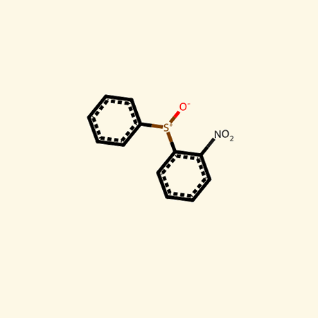 O=[N+]([O-])c1ccccc1[S+]([O-])c1ccccc1